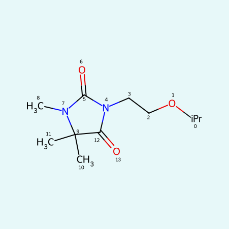 CC(C)OCCN1C(=O)N(C)C(C)(C)C1=O